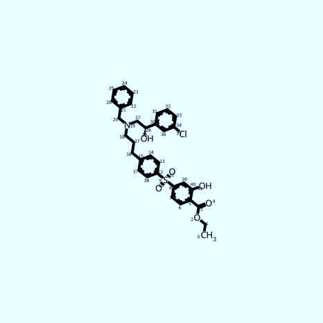 CCOC(=O)c1ccc(S(=O)(=O)c2ccc(CCCN(Cc3ccccc3)C[C@H](O)c3cccc(Cl)c3)cc2)cc1O